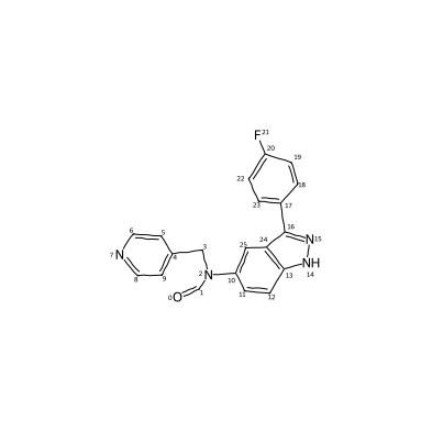 O=CN(Cc1ccncc1)c1ccc2[nH]nc(-c3ccc(F)cc3)c2c1